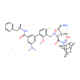 COc1c(-c2cc(C(=O)N[C@H](C)Cc3ccccc3)cc(N(C)C)c2)ccc(F)c1CN1O[C@@H](CN)[C@@H]([C@H](C)O)[C@H]1C(=O)N[C@H]1C[C@H]2C[C@@H]([C@@H]1C)C2(C)C